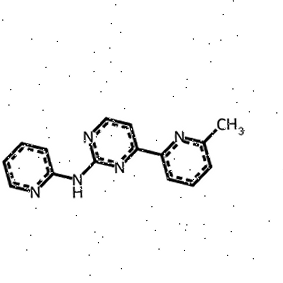 Cc1cccc(-c2ccnc(Nc3ccccn3)n2)n1